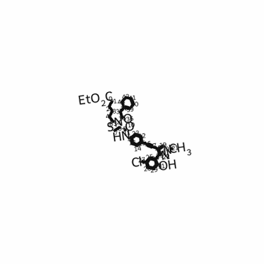 CCOC(=O)CCCCC1SC[C@@H](C(=O)Nc2ccc(C#Cc3cn(C)nc3-c3cc(Cl)ccc3O)cc2)N1C(=O)CC1=CC=CCC1